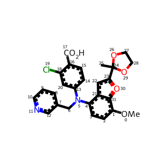 COc1ccc(N(Cc2cccnc2)c2ccc(C(=O)O)c(Cl)c2)c2cc(C3(C)OCCO3)oc12